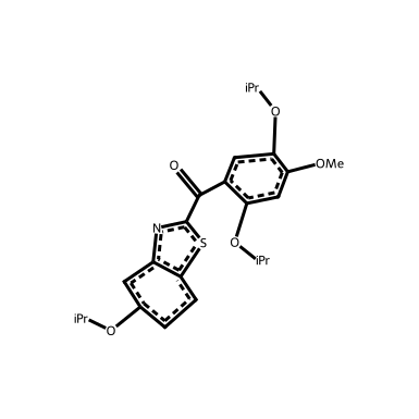 COc1cc(OC(C)C)c(C(=O)c2nc3cc(OC(C)C)ccc3s2)cc1OC(C)C